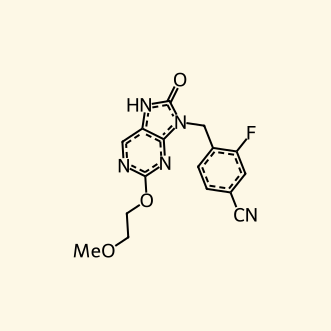 COCCOc1ncc2[nH]c(=O)n(Cc3ccc(C#N)cc3F)c2n1